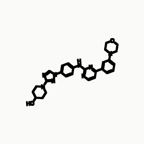 OC1CCN(c2ncn(-c3ccc(Nc4nccc(-c5cccc(N6CCOCC6)c5)n4)cc3)n2)CC1